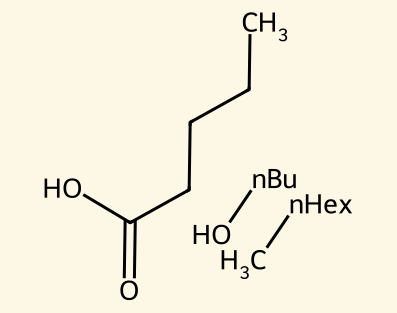 CCCCC(=O)O.CCCCCCC.CCCCO